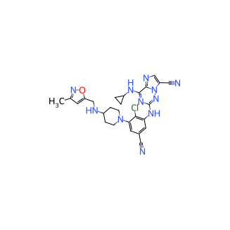 Cc1cc(CNC2CCN(c3cc(C#N)cc(Nc4nc(NC5CC5)c5ncc(C#N)n5n4)c3Cl)CC2)on1